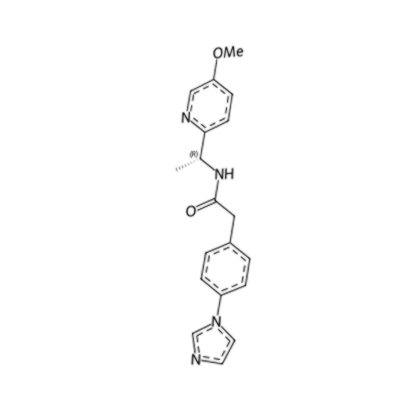 COc1ccc([C@@H](C)NC(=O)Cc2ccc(-n3ccnc3)cc2)nc1